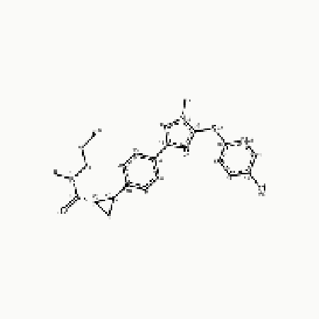 CN(CCF)C(=O)[C@H]1C[C@@H]1c1ccc(-c2cn(C)c(Sc3ccc(Cl)cn3)n2)cc1